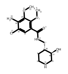 COc1c(C(=O)NC[C@H]2CCNC[C@@H]2O)cc(Cl)c(N)c1OC